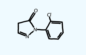 O=C1CC=NN1c1ccccc1Cl